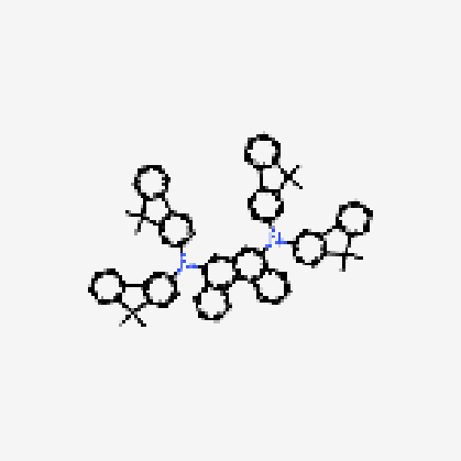 CC1(C)c2ccccc2-c2cc(N(c3ccc4c(c3)C(C)(C)c3ccccc3-4)c3cc4cc(N(c5ccc6c(c5)-c5ccccc5C6(C)C)c5ccc6c(c5)C(C)(C)c5ccccc5-6)c5ccccc5c4c4ccccc34)ccc21